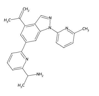 C=C(C)c1cc(-c2cccc(C(C)N)n2)cc2c1cnn2-c1cccc(C)n1